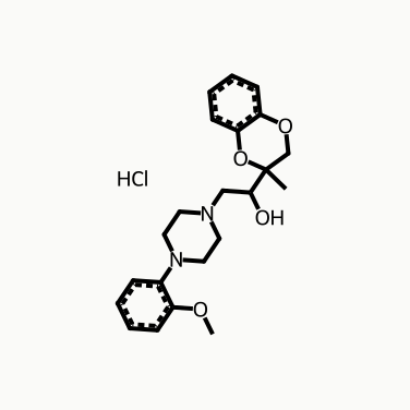 COc1ccccc1N1CCN(CC(O)C2(C)COc3ccccc3O2)CC1.Cl